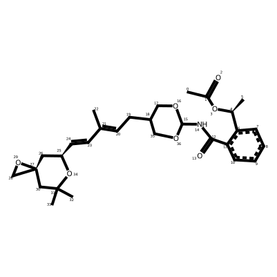 CC(=O)O[C@@H](C)c1ccccc1C(=O)NC1OCC(C/C=C(C)/C=C/[C@@H]2C[C@]3(CO3)CC(C)(C)O2)CO1